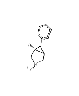 CN1CC2[C@@H](C1)[C@@H]2c1ccccc1